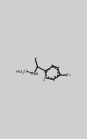 CC(NC(=O)O)c1ccc(F)cn1